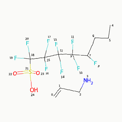 C=CCN.CCCC(F)C(F)(F)C(F)(F)C(F)(F)C(F)(F)S(=O)(=O)O